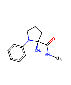 CNC(=O)[C@@]1(N)CCCN1c1ccccc1